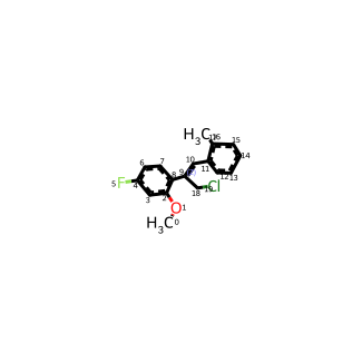 COc1cc(F)ccc1/C(=C/c1ccccc1C)CCl